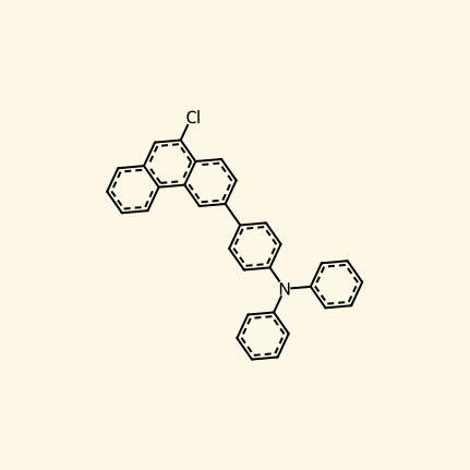 Clc1cc2ccccc2c2cc(-c3ccc(N(c4ccccc4)c4ccccc4)cc3)ccc12